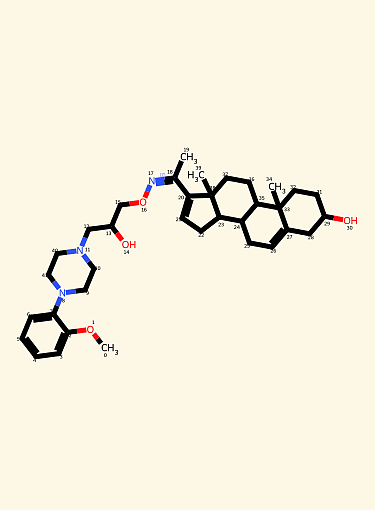 COc1ccccc1N1CCN(CC(O)CO/N=C(/C)C2=CCC3C4CC=C5CC(O)CCC5(C)C4CCC23C)CC1